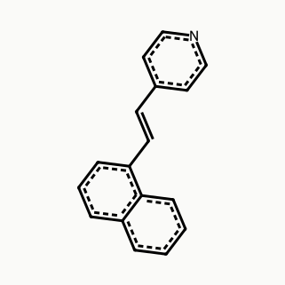 C(=Cc1cccc2ccccc12)c1ccncc1